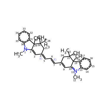 CN1C2=C/C(=C/C=C/C3=CC4=[N+](C)c5ccccc5C4(C)C(C)(C)C3)CC(C)(C)C2(C)c2ccccc21